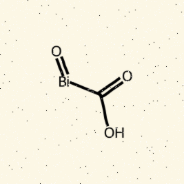 [O]=[Bi][C](=O)O